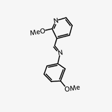 COc1cccc(/N=C/c2cccnc2OC)c1